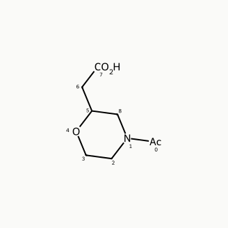 CC(=O)N1CCOC(CC(=O)O)C1